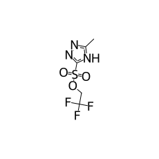 Cc1nnc(S(=O)(=O)OCC(F)(F)F)[nH]1